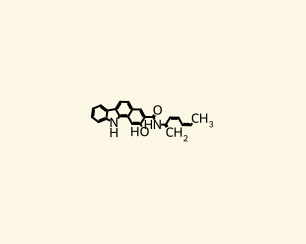 C=C(/C=C\C=C/C)NC(=O)c1cc2ccc3c4ccccc4[nH]c3c2cc1O